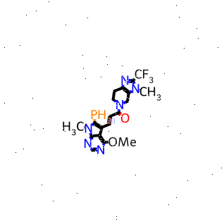 COc1ncnc2c1c(/C=C/C(=O)N1CCc3nc(C(F)(F)F)n(C)c3C1)c(P)n2C